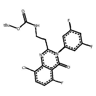 CC(C)(C)OC(=O)NCCc1nc2c(Cl)ccc(F)c2c(=O)n1-c1cc(F)cc(F)c1